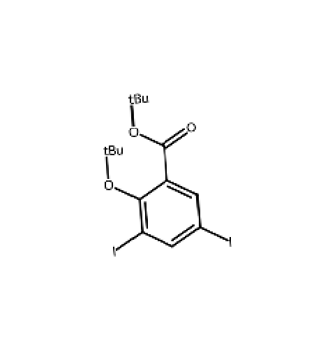 CC(C)(C)OC(=O)c1cc(I)cc(I)c1OC(C)(C)C